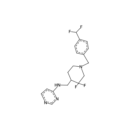 FC(F)c1ccc(CN2CCC(CNc3ccncn3)C(F)(F)C2)cc1